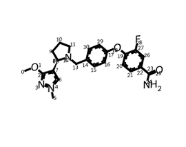 COc1nn(C)cc1[C@H]1CCCN1Cc1ccc(Oc2ccc(C(N)=O)cc2F)cc1